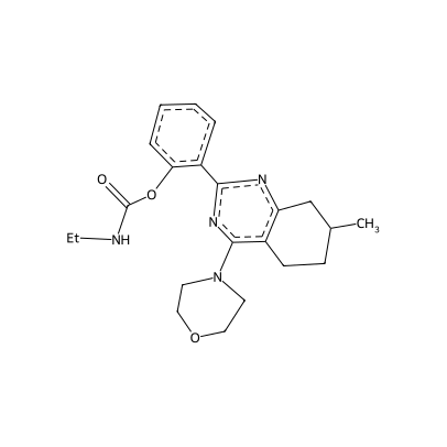 CCNC(=O)Oc1ccccc1-c1nc2c(c(N3CCOCC3)n1)CCC(C)C2